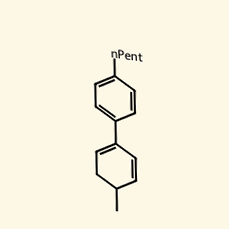 CCCCCc1ccc(C2=CCC(C)C=C2)cc1